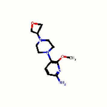 COc1nc(N)ccc1N1CCN(C2COC2)CC1